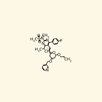 C=CCOC1C[C@H](OCc2cccnc2)C[C@@H](/C=C/c2c(-c3ccc(F)cc3)nc(N(C)S(C)(=O)=O)nc2C(C)C)O1